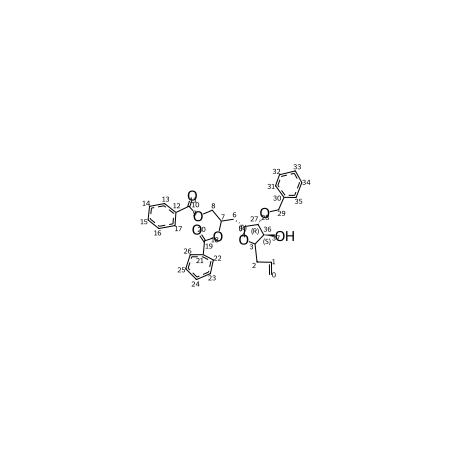 C=CCC1O[C@H](CC(COC(=O)c2ccccc2)OC(=O)c2ccccc2)[C@H](OCc2ccccc2)[C@H]1O